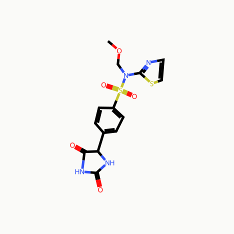 COCN(c1nccs1)S(=O)(=O)c1ccc(C2NC(=O)NC2=O)cc1